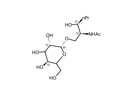 CCC[C@H](O)[C@H](CO[C@@H]1OC(CO)[C@@H](O)C(O)[C@@H]1O)NC(C)=O